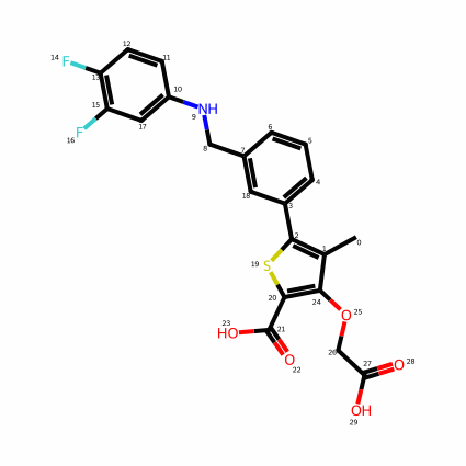 Cc1c(-c2cccc(CNc3ccc(F)c(F)c3)c2)sc(C(=O)O)c1OCC(=O)O